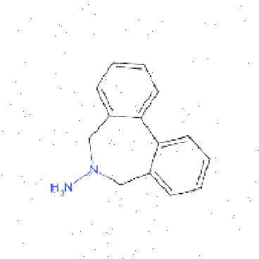 NN1Cc2ccccc2-c2ccccc2C1